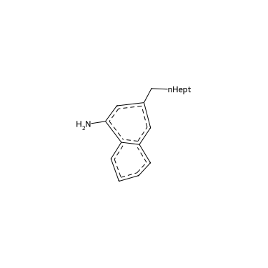 CCCCCCCCc1cc(N)c2ccccc2c1